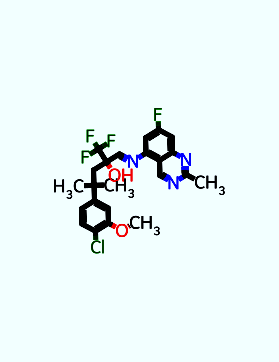 COc1cc(C(C)(C)CC(O)(C=Nc2cc(F)cc3nc(C)ncc23)C(F)(F)F)ccc1Cl